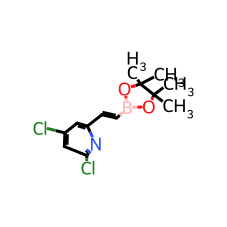 CC1(C)OB(/C=C/c2cc(Cl)cc(Cl)n2)OC1(C)C